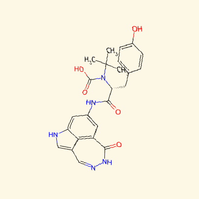 CC(C)(C)N(C(=O)O)[C@H](Cc1ccc(O)cc1)C(=O)Nc1cc2c3c(c[nH]c3c1)C=NNC2=O